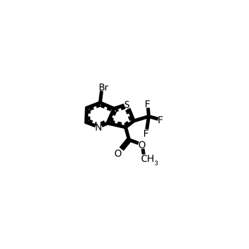 COC(=O)c1c(C(F)(F)F)sc2c(Br)ccnc12